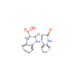 O=C(O)c1nc2ccccc2[nH]c1=O.O=c1ccc2ccccc2[nH]1